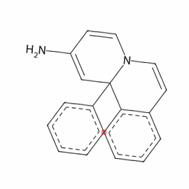 NC1=CC2(c3ccccc3)c3ccccc3C=CN2C=C1